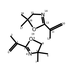 C=C(C)C1=NC(C)(C)CO1.C=C(C)C1=NCC(C)(C)O1